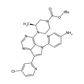 C[C@H]1CN(C(=O)OC(C)(C)C)CCN1c1ncnc2c(-c3cc(Cl)ccn3)cn(-c3ccc(N)cn3)c12